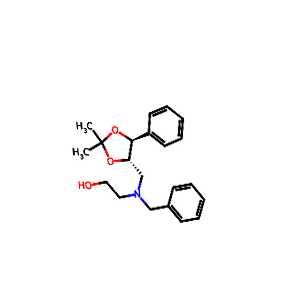 CC1(C)O[C@@H](CN(CCO)Cc2ccccc2)[C@H](c2ccccc2)O1